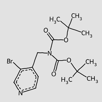 CC(C)(C)OC(=O)N(Cc1ccncc1Br)C(=O)OC(C)(C)C